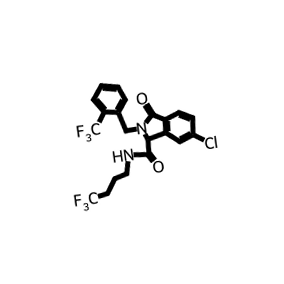 O=C(NCCCC(F)(F)F)C1c2cc(Cl)ccc2C(=O)N1Cc1ccccc1C(F)(F)F